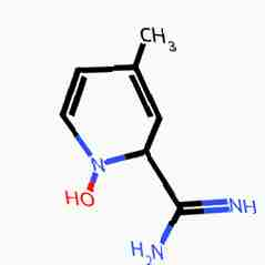 CC1=CC(C(=N)N)N(O)C=C1